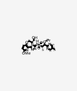 COc1ccc2c(n1)-c1nnc(NS(=O)(=O)[C@@H](C)[C@@H](OC(C)C)c3ncc(C)cn3)n1[C@H](CO)CO2